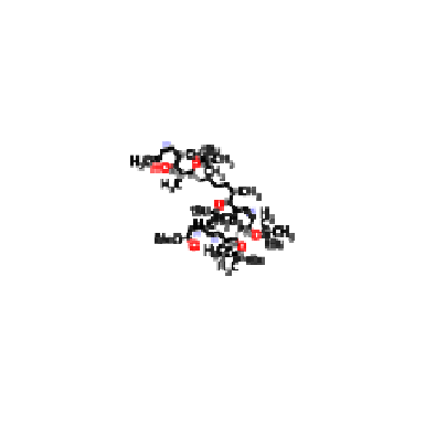 C=C/C=C\[C@H](C)[C@H](O)[C@@H](C)[C@@H](CCCC[C@H](C)[C@@H](O[Si](C)(C)C(C)(C)C)[C@@H](C)/C=C\[C@H](C[C@H](O[Si](C)(C)C(C)(C)C)[C@H](C)/C=C/C=C\C(=O)OC)O[Si](C)(C)C(C)(C)C)O[Si](C)(C)C(C)(C)C